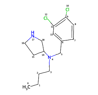 CCCCN(Cc1ccc(Cl)c(Cl)c1)C1CCNC1